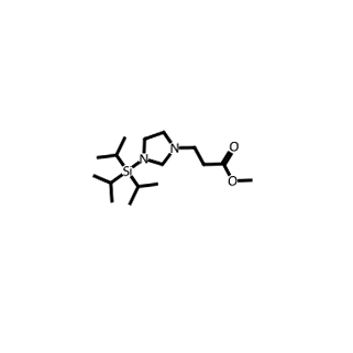 COC(=O)CCN1CCN([Si](C(C)C)(C(C)C)C(C)C)C1